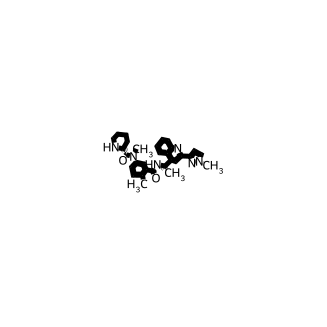 Cc1ccc(N(C)C(=O)[C@H]2CCCCN2)cc1C(=O)N[C@H](C)c1cc(-c2ccn(C)n2)nc2ccccc12